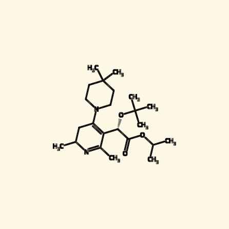 CC1=NC(C)CC(N2CCC(C)(C)CC2)=C1[C@H](OC(C)(C)C)C(=O)OC(C)C